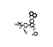 Cc1cccc2cccc(N3CCc4c(nc(OC[C@@H]5CCCN5C)nc4N4CCN(C(=O)C5(C)CN5)[C@@H](CC#N)C4)C3)c12